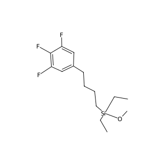 CC[Si](CC)(CCCCc1cc(F)c(F)c(F)c1)OC